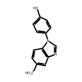 O=C(O)c1ccc2c(c1)ncn2-c1ccc(O)cc1